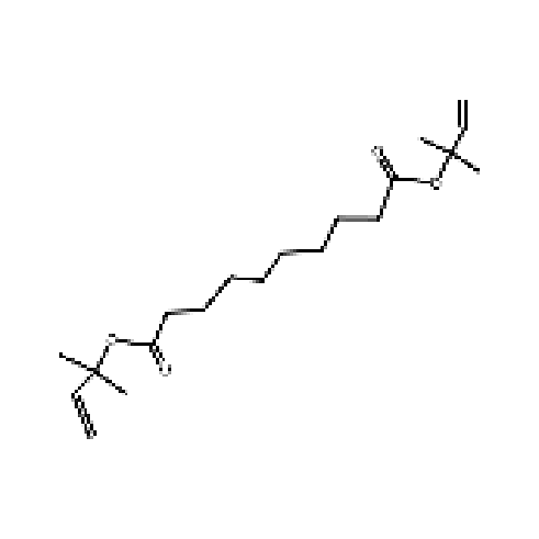 C=CC(C)(C)OC(=O)CCCCCCCCC(=O)OC(C)(C)C=C